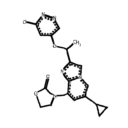 CC(Oc1cnnc(Cl)c1)c1cn2cc(C3CC3)cc(N3CCOC3=O)c2n1